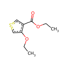 CCOC(=O)c1cscc1OCC